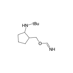 CC(C)(C)NC1CCCC1COC=N